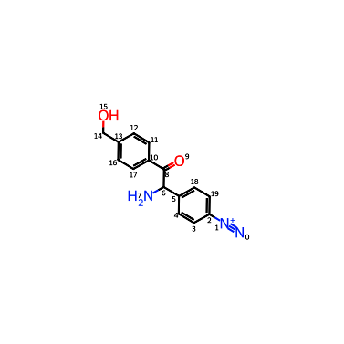 N#[N+]c1ccc(C(N)C(=O)c2ccc(CO)cc2)cc1